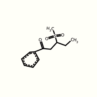 CCC(CC(=O)c1ccccc1)S(C)(=O)=O